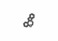 c1ccc2c(c1)OCCn1c-2cc2ccccc21